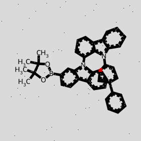 CC1(C)OB(c2ccc3c4ccccc4n(-c4cccc5c6ccccc6n(-c6ccc(-c7ccccc7)cc6)c45)c3c2)OC1(C)C